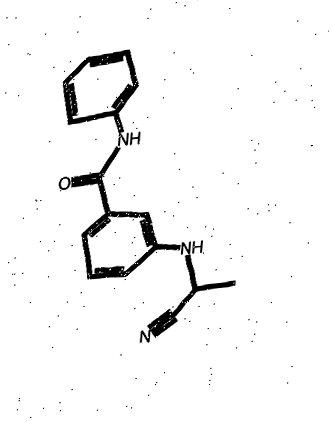 CC(C#N)Nc1cccc(C(=O)Nc2ccccc2)c1